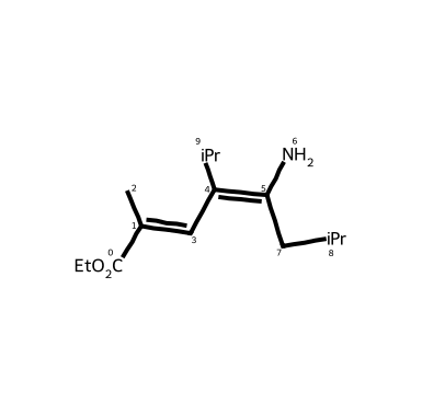 CCOC(=O)/C(C)=C/C(=C(/N)CC(C)C)C(C)C